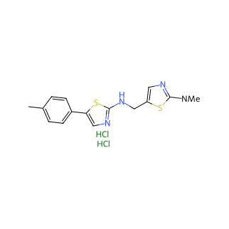 CNc1ncc(CNc2ncc(-c3ccc(C)cc3)s2)s1.Cl.Cl